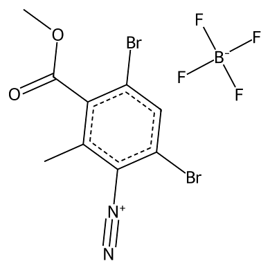 COC(=O)c1c(Br)cc(Br)c([N+]#N)c1C.F[B-](F)(F)F